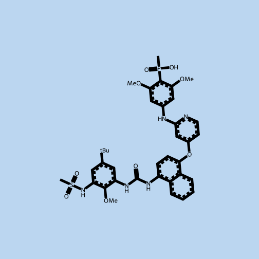 COc1cc(Nc2cc(Oc3ccc(NC(=O)Nc4cc(C(C)(C)C)cc(NS(C)(=O)=O)c4OC)c4ccccc34)ccn2)cc(OC)c1P(C)(=O)O